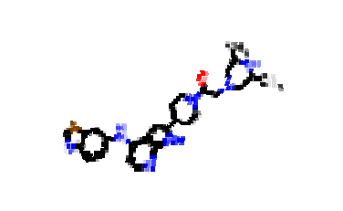 CC1CN(CC(=O)N2CC=C(c3cc4c(Nc5ccc6ncsc6c5)ccnc4[nH]3)CC2)CC(C)N1